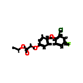 CCOC(=O)COc1ccc(Oc2c[c]c(F)cc2Cl)cc1